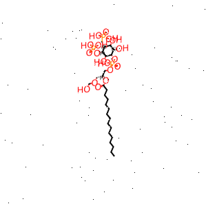 CCCCCCCCCCCCCCCC(=O)O[C@H](COCO)COP(=O)(O)OC1C(O)[C@H](OP(=O)(O)O)[C@H](CP(=O)(O)O)C(O)[C@@H]1O